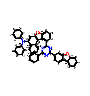 c1ccc(-c2nc(-c3ccc4c(c3)oc3ccccc34)nc(-c3cccc4oc5cc(N(c6ccccc6)c6ccccc6)c6ccccc6c5c34)n2)cc1